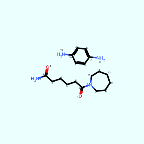 NC(=O)CCCCC(=O)N1CCCCCC1.Nc1ccc(N)cc1